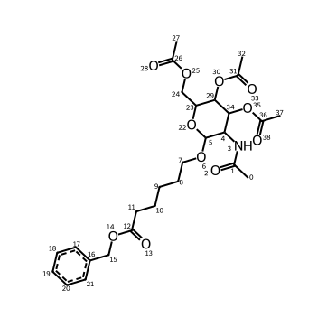 CC(=O)NC1C(OCCCCCC(=O)OCc2ccccc2)OC(COC(C)=O)C(OC(C)=O)C1OC(C)=O